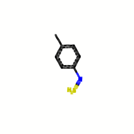 Cc1ccc(N=[SH2])cc1